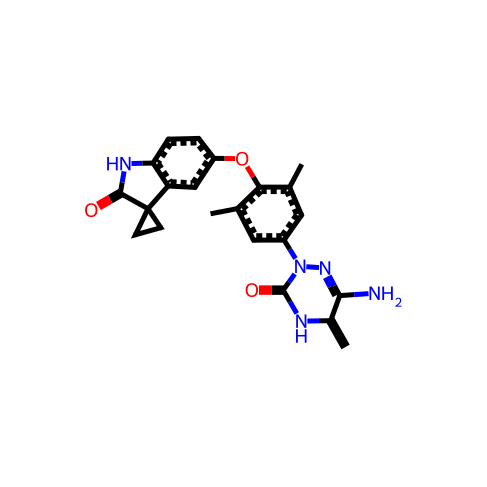 C=C1NC(=O)N(c2cc(C)c(Oc3ccc4c(c3)C3(CC3)C(=O)N4)c(C)c2)N=C1N